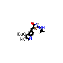 CC(C)COc1c(C#N)cnc2ccc(/C=C3\SC(NC4CC4)=NC3=O)cc12